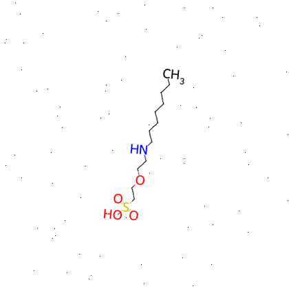 CCCCCCCCNCCOCCS(=O)(=O)O